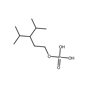 CC(C)C(CCOP(=O)(O)O)C(C)C